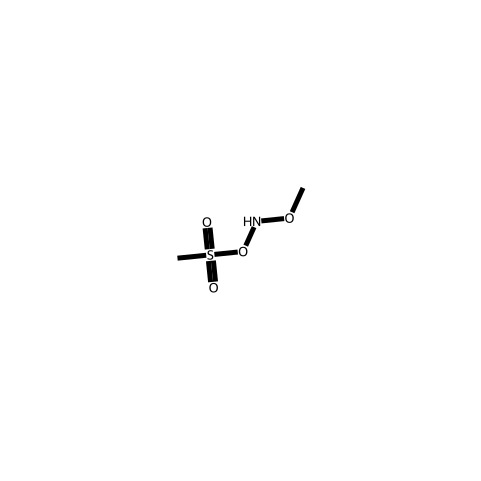 CONOS(C)(=O)=O